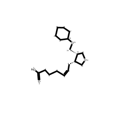 O=C(O)CCC/C=C\C[C@H]1COC[C@H]1COC1CCCCC1